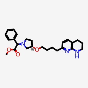 COC(=O)C(c1ccccc1)N1CC[C@@H](OCCCCc2ccc3c(n2)NCCC3)C1